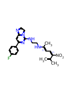 C=C(C)/C(=C\C=C(/C)NCCNc1nc(-c2ccc(F)cc2)cc2nccn12)[N+](=O)[O-]